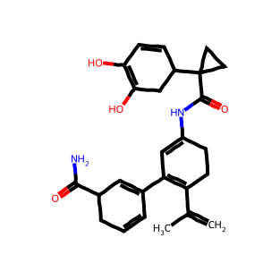 C=C(C)C1=C(C2=CC(C(N)=O)CC=C2)C=C(NC(=O)C2(C3C=CC(O)=C(O)C3)CC2)CC1